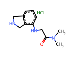 CN(C)C(=O)CNc1cccc2c1CNC2.Cl